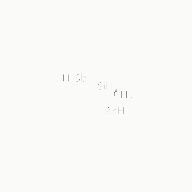 C.[AsH3].[SbH3].[SiH4]